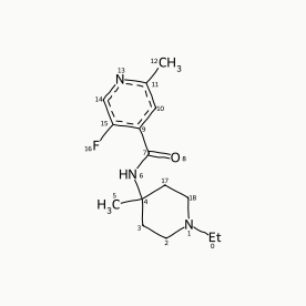 CCN1CCC(C)(NC(=O)c2cc(C)ncc2F)CC1